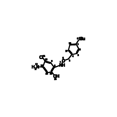 CC(C)(C)c1ccc(CONc2cc(Cl)c(N)cc2O)cc1